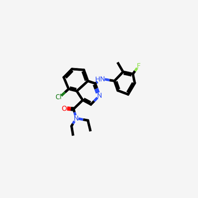 CCN(CC)C(=O)c1cnc(Nc2cccc(F)c2C)c2cccc(Cl)c12